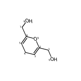 OCC1=CCC=C(CO)O1